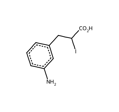 Nc1cccc(CC(I)C(=O)O)c1